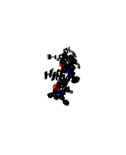 Cc1cc(C)c(-c2ccc3c(c2)B2c4c(cc(C(C)C)cc4-n4c5cc(Cc6cc(C)c(-c7ccc8c(c7)B7c9c(cc(-c%10ccccc%10-c%10ccccc%10)cc9-n9c%10ccc(-c%11ccccc%11)cc%10c%10cc(-c%11ccccc%11)cc7c%109)O8)c(C)c6)c(-c6ccccc6)cc5c5cc(-c6ccccc6)cc2c54)O3)c(C)c1